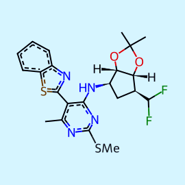 CSc1nc(C)c(-c2nc3ccccc3s2)c(N[C@@H]2C[C@H](C(F)F)[C@H]3OC(C)(C)O[C@H]32)n1